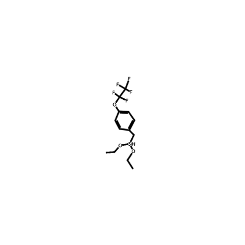 CCO[SiH](Cc1ccc(OC(F)(F)C(F)(F)F)cc1)OCC